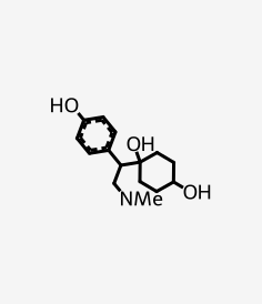 CNCC(c1ccc(O)cc1)C1(O)CCC(O)CC1